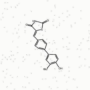 CC(C)(C)c1cc(-c2ccc(/C=C3\SC(=O)NC3=O)cc2)ccc1O